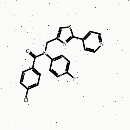 O=C(c1ccc(Cl)cc1)N(Cc1csc(-c2ccncc2)n1)c1ccc(F)cc1